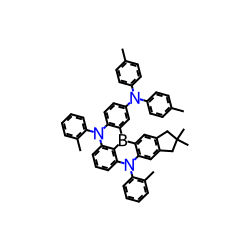 Cc1ccc(N(c2ccc(C)cc2)c2ccc3c(c2)B2c4cc5c(cc4N(c4ccccc4C)c4cccc(c42)N3c2ccccc2C)CC(C)(C)C5)cc1